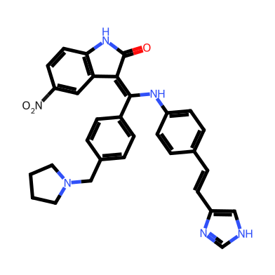 O=C1Nc2ccc([N+](=O)[O-])cc2C1=C(Nc1ccc(C=Cc2c[nH]cn2)cc1)c1ccc(CN2CCCC2)cc1